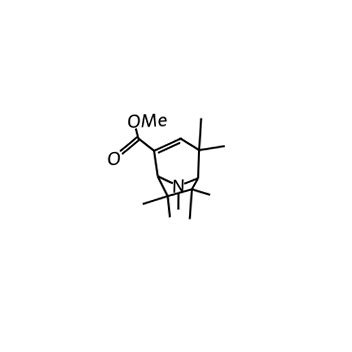 COC(=O)C1=CC(C)(C)C2N(C)C1C(C)(C)C2(C)C